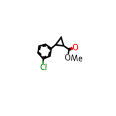 COC(=O)C1CC1c1cccc(Cl)c1